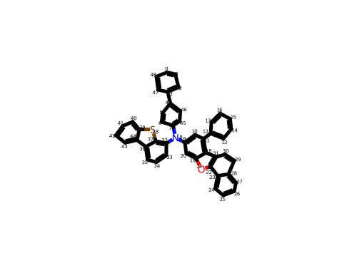 c1ccc(-c2ccc(N(c3cc(-c4ccccc4)c4c(c3)oc3c5ccccc5ccc34)c3cccc4c3sc3ccccc34)cc2)cc1